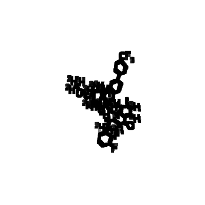 [2H]c1c(C)c([2H])c2c(c1[2H])c(=O)c([2H])c(SC([2H])([2H])c1cccc(F)c1F)n2C([2H])([2H])C(=O)N(Cc1ccc(-c2ccc(C(F)(F)F)cc2)cc1)C1([2H])C([2H])([2H])C([2H])([2H])N(CCOC([2H])([2H])[2H])C([2H])([2H])C1([2H])[2H]